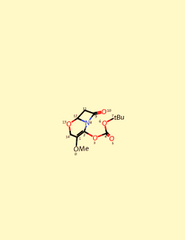 COC1=C(OC(=O)OC(C)(C)C)N2C(=O)CC2OC1